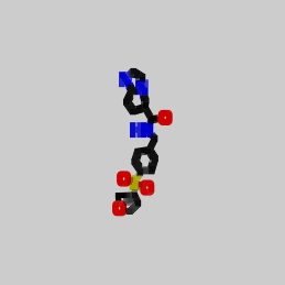 O=C(NCc1ccc(S(=O)(=O)[C@@H]2CCOC2)cc1)c1ccc2nccn2c1